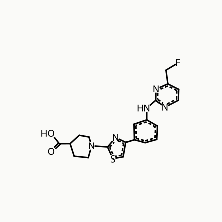 O=C(O)C1CCN(c2nc(-c3cccc(Nc4nccc(CF)n4)c3)cs2)CC1